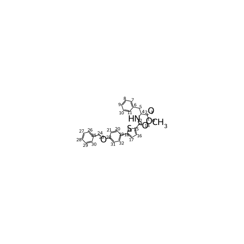 COC(=O)C(Cc1ccccc1)NC(=O)c1ccc(-c2ccc(OCc3ccccc3)cc2)s1